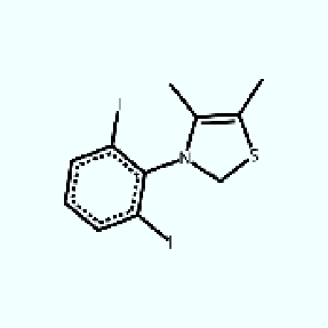 CC1=C(C)N(c2c(I)cccc2I)CS1